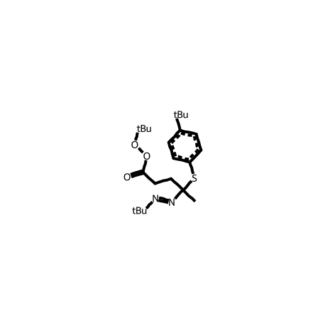 CC(C)(C)N=NC(C)(CCC(=O)OOC(C)(C)C)Sc1ccc(C(C)(C)C)cc1